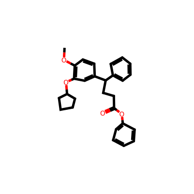 COc1ccc(C(CCC(=O)Oc2ccccc2)c2ccccc2)cc1OC1CCCC1